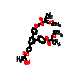 C=C(COC)C(=O)OCCOc1ccc(-c2ccc(-c3ccc(OC(=O)C(=C)CO)cc3)cc2C2CCC(OC(=O)C(=C)COC)CC2)cc1